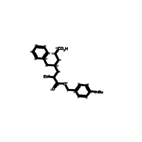 CCCCc1ccc(COC(=O)C(CC)CC(CCC(=O)O)Cc2ccccc2)cc1